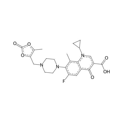 Cc1oc(=O)oc1CN1CCN(c2c(F)cc3c(=O)c(C(=O)O)cn(C4CC4)c3c2C)CC1